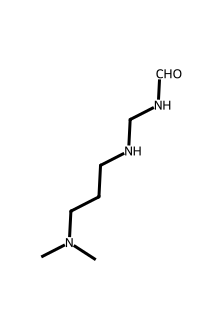 CN(C)CCCNCNC=O